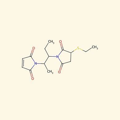 CCSC1CC(=O)N(C(CC)C(C)N2C(=O)C=CC2=O)C1=O